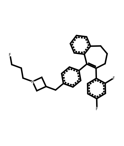 FCCCN1CC(Cc2ccc(C3=C(c4ccc(F)cc4F)CCCc4ccccc43)cc2)C1